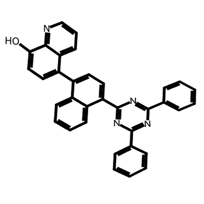 Oc1ccc(-c2ccc(-c3nc(-c4ccccc4)nc(-c4ccccc4)n3)c3ccccc23)c2cccnc12